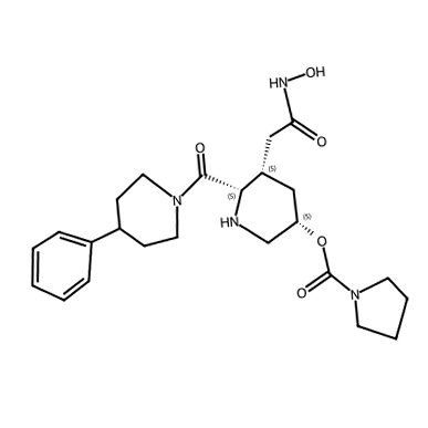 O=C(C[C@@H]1C[C@H](OC(=O)N2CCCC2)CN[C@@H]1C(=O)N1CCC(c2ccccc2)CC1)NO